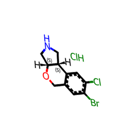 Cl.Clc1cc2c(cc1Br)CO[C@@H]1CNC[C@H]21